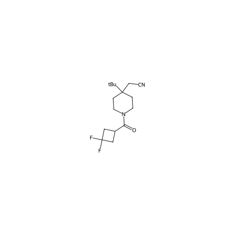 CC(C)(C)C1(CC#N)CCN(C(=O)C2CC(F)(F)C2)CC1